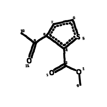 COC(=O)c1sccc1C(C)=O